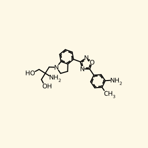 Cc1ccc(-c2nc(-c3cccc4c3CCN4CC(N)(CO)CO)no2)cc1N